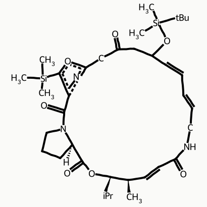 CC(C)[C@H]1OC(=O)[C@H]2CCCN2C(=O)c2nc(oc2[Si](C)(C)C)CC(=O)CC(O[Si](C)(C)C(C)(C)C)/C=C/C=C/CNC(=O)/C=C/[C@H]1C